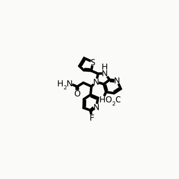 NC(=O)CC(c1ccc(F)nc1)N1c2c(C(=O)O)ccnc2NC1c1cccs1